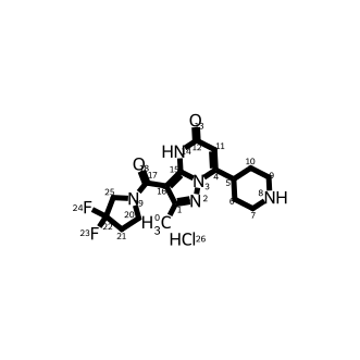 Cc1nn2c(C3CCNCC3)cc(=O)[nH]c2c1C(=O)N1CCC(F)(F)C1.Cl